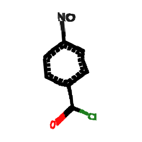 O=Nc1ccc(C(=O)Cl)cc1